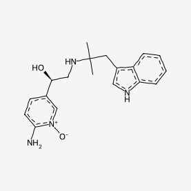 CC(C)(Cc1c[nH]c2ccccc12)NC[C@H](O)c1ccc(N)[n+]([O-])c1